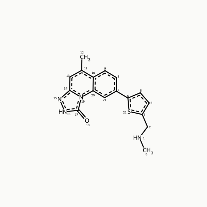 CNCc1ccc(-c2ccc3c(C)cc4n[nH]c(=O)n4c3c2)s1